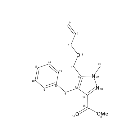 C=CCOCc1c(Cc2ccccc2)c(C(=O)OC)nn1C